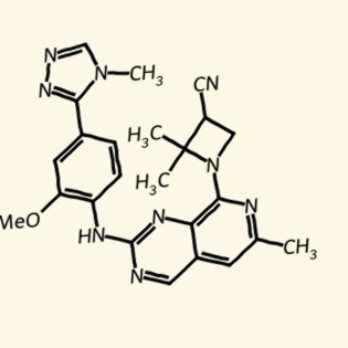 COc1cc(-c2nncn2C)ccc1Nc1ncc2cc(C)nc(N3CC(C#N)C3(C)C)c2n1